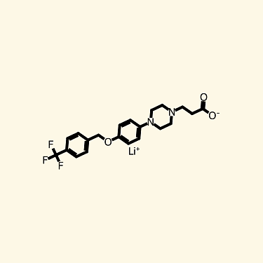 O=C([O-])CCN1CCN(c2ccc(OCc3ccc(C(F)(F)F)cc3)cc2)CC1.[Li+]